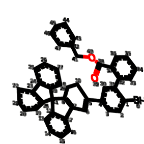 Bc1ccc(C2=CC3=C(CC2)C2(c4ccccc43)c3ccccc3-c3ccccc32)cc1-c1ccccc1C(=O)OCc1ccccc1